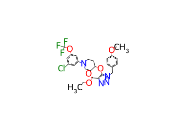 CCOC(=O)c1nnn(Cc2ccc(OC)cc2)c1OC1CCN(c2cc(Cl)cc(OC(F)(F)F)c2)CC1